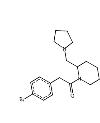 O=C(Cc1ccc(Br)cc1)N1CCCCC1CN1CCCC1